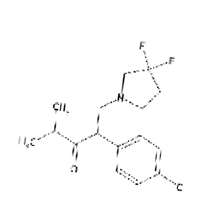 CC(C)C(=O)C(CN1CCC(F)(F)C1)c1ccc(Cl)cc1